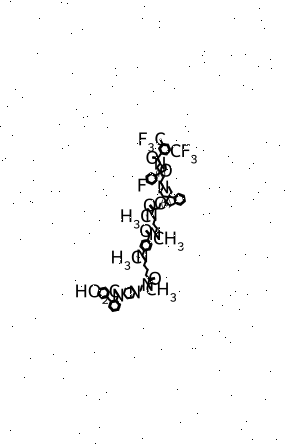 CN(CCN1CCC(N(C(=O)O)c2ccccc2-c2ccccc2)CC1)C(=O)CCCCN(C)c1ccc(C(=O)N(C)CCCN(C)C(=O)CO[C@H]2Cc3ccccc3C23CCN(CC[C@@]2(c4ccc(F)cc4)CN(C(=O)c4cc(C(F)(F)F)cc(C(F)(F)F)c4)CO2)CC3)cc1